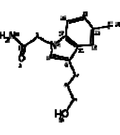 NC(=O)Cn1cc(C[CH]CO)c2cc(F)ccc21